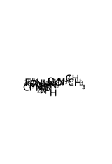 CC(C)=CCN1CCC(NC(=O)c2cc3c(Nc4ccc(F)c(Cl)c4)ncnc3s2)CC1